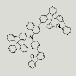 c1ccc(C2(c3ccccc3)c3ccccc3-c3ccc(N(c4ccc(-c5cccc6c5oc5ccccc56)cc4)c4ccc(-c5ccc6c(c5)C5(c7ccccc7-6)c6ccccc6-n6c7ccccc7c7cccc5c76)c5ccccc45)cc32)cc1